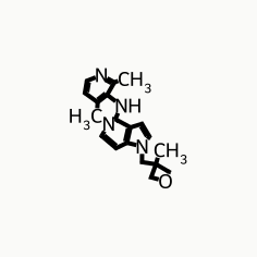 Cc1ccnc(C)c1Nc1nccc2c1ccn2CC1(C)COC1